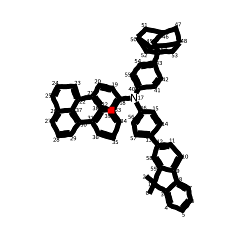 CC1(C)c2ccccc2-c2ccc(-c3ccc(N(c4ccc(-c5cccc6cccc(-c7ccccc7)c56)cc4)c4ccc(C56CC7CC(CC(C7)C5)C6)cc4)cc3)cc21